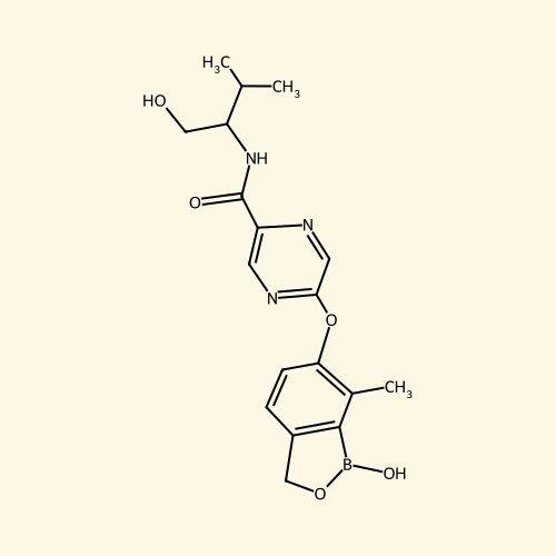 Cc1c(Oc2cnc(C(=O)NC(CO)C(C)C)cn2)ccc2c1B(O)OC2